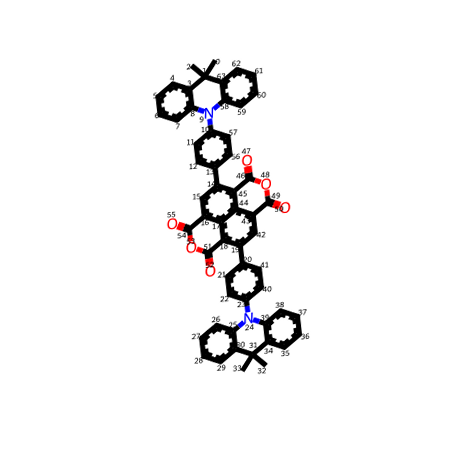 CC1(C)c2ccccc2N(c2ccc(-c3cc4c5c(c(-c6ccc(N7c8ccccc8C(C)(C)c8ccccc87)cc6)cc6c5c3C(=O)OC6=O)C(=O)OC4=O)cc2)c2ccccc21